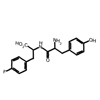 NC(Cc1ccc(O)cc1)C(=O)NC(Cc1ccc(F)cc1)C(=O)O